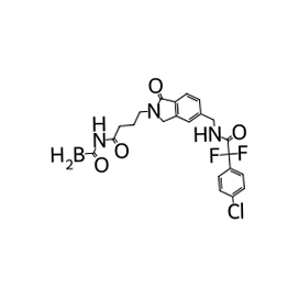 BC(=O)NC(=O)CCCN1Cc2cc(CNC(=O)C(F)(F)c3ccc(Cl)cc3)ccc2C1=O